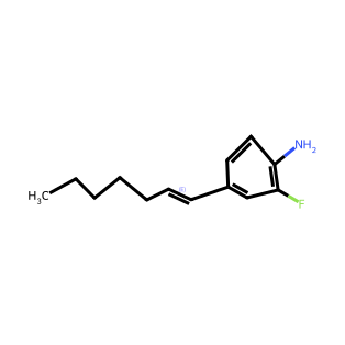 CCCCC/C=C/c1ccc(N)c(F)c1